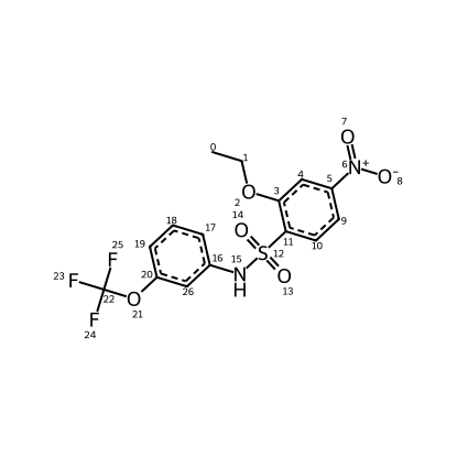 CCOc1cc([N+](=O)[O-])ccc1S(=O)(=O)Nc1cccc(OC(F)(F)F)c1